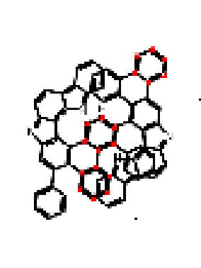 c1ccc(C2=C(c3ccccc3)N(c3c4c(cc(-c5ccccc5)c3-c3ccccc3-c3ccccc3)N=c3ccc5c(c3-4)N=c3ccccc3=5)NN=C2c2c3c(cc(-c4ccccc4)c2-c2ccccc2-c2ccccc2)N=c2ccc4c(c2-3)N=c2ccccc2=4)cc1